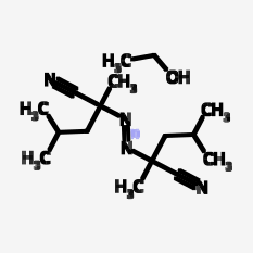 CC(C)CC(C)(C#N)/N=N/C(C)(C#N)CC(C)C.CCO